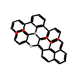 c1ccc(-c2cccc(-c3ccccc3)c2B2c3ccccc3Oc3c2cc2ccc4cccc5ccc3c2c45)cc1